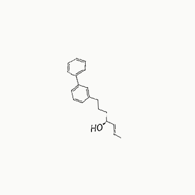 C/C=C/[C@@H](O)CCCc1cccc(-c2ccccc2)c1